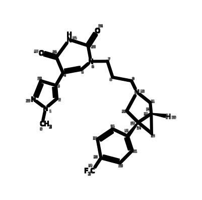 Cn1cc(-c2cn(CCCN3C[C@@H]4C[C@]4(c4ccc(C(F)(F)F)cc4)C3)c(=O)[nH]c2=O)cn1